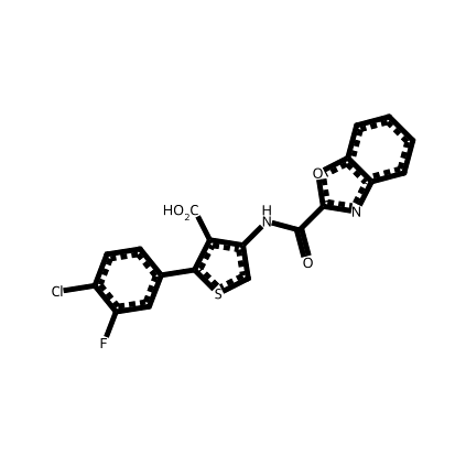 O=C(Nc1csc(-c2ccc(Cl)c(F)c2)c1C(=O)O)c1nc2ccccc2o1